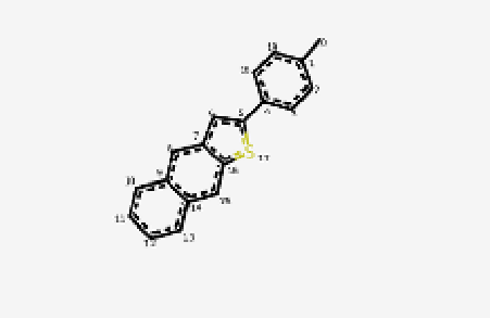 Cc1ccc(-c2cc3cc4ccccc4cc3s2)cc1